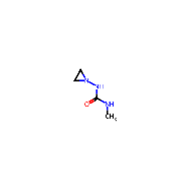 CNC(=O)NN1CC1